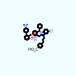 CN(C)c1ccc(-c2ccccc2CS(=O)(=O)NCCc2c(CCCc3ccc(C(=O)O)cc3)c3cc(Cl)ccc3n2C(c2ccccc2)c2ccccc2)cc1